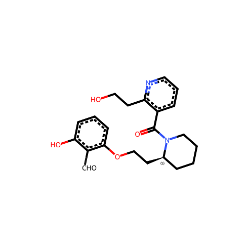 O=Cc1c(O)cccc1OCC[C@@H]1CCCCN1C(=O)c1cccnc1CCO